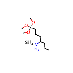 CCCC(N)CCC[Si](OC)(OC)OC.[SiH4]